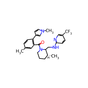 Cc1ccc(-c2ccn(C)c2)c(C(=O)N2CCC[C@@H](C)C2CNc2ccc(C(F)(F)F)cn2)c1